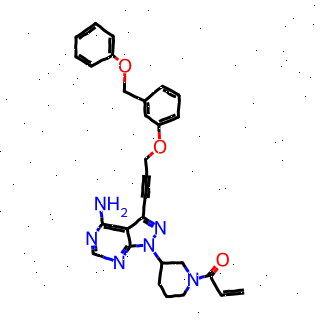 C=CC(=O)N1CCCC(n2nc(C#CCOc3cccc(COc4ccccc4)c3)c3c(N)ncnc32)C1